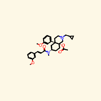 COc1cccc(C=CC(=O)N(C)[C@H]2CC[C@]3(OC(C)=O)CN(CC4CC4)CC[C@@]3(c3cccc(OC)c3)C2)c1